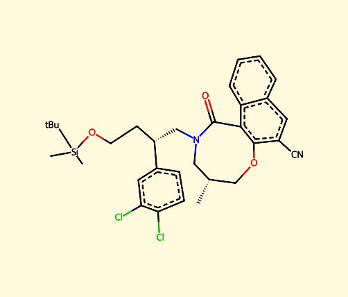 C[C@H]1COc2c(C#N)cc3ccccc3c2C(=O)N(C[C@@H](CCO[Si](C)(C)C(C)(C)C)c2ccc(Cl)c(Cl)c2)C1